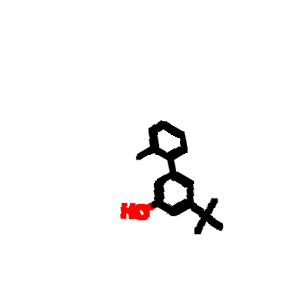 Cc1ccccc1-c1cc(O)cc(C(C)(C)C)c1